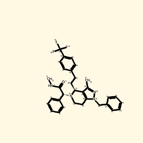 CNC(=O)[C@@H](c1ccccc1)N1CCc2c(c(C)nn2Cc2ccccc2)[C@@H]1CCc1ccc(C(F)(F)F)cc1